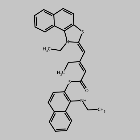 CCNc1c(SC(=O)/C=C(/C=C2/Sc3ccc4ccccc4c3N2CC)CC)ccc2ccccc12